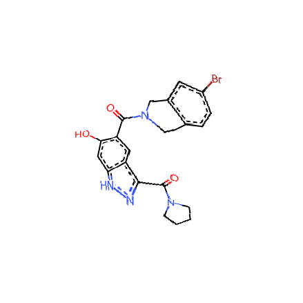 O=C(c1cc2c(C(=O)N3CCCC3)n[nH]c2cc1O)N1Cc2ccc(Br)cc2C1